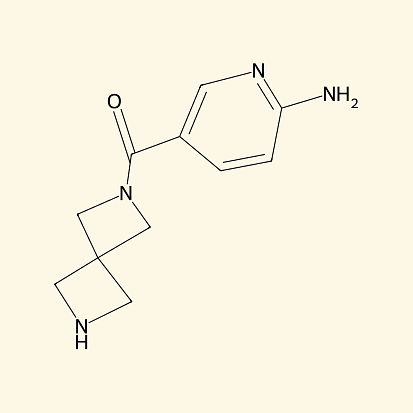 Nc1ccc(C(=O)N2CC3(CNC3)C2)cn1